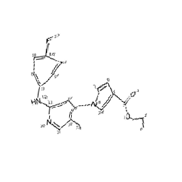 CCOC(=O)c1ccn(-c2cc(Nc3ccc(F)cc3)ncc2C)c1